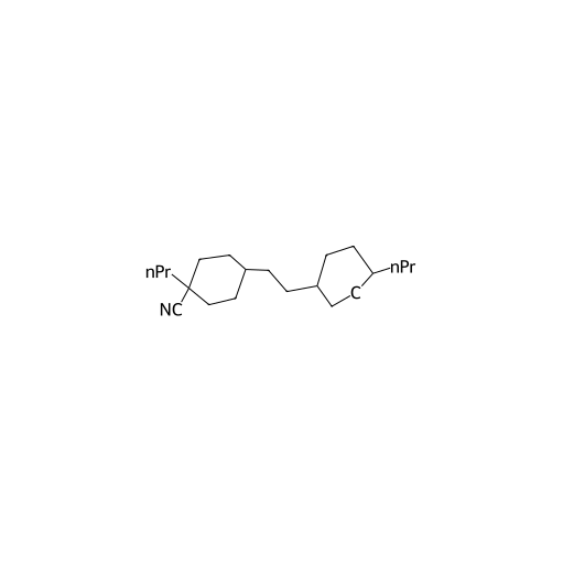 CCCC1CCC(CCC2CCC(C#N)(CCC)CC2)CC1